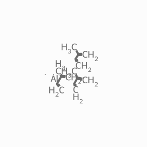 C=CC(=C)C.C=CC(=C)C.C=CC(=C)C.[Al]